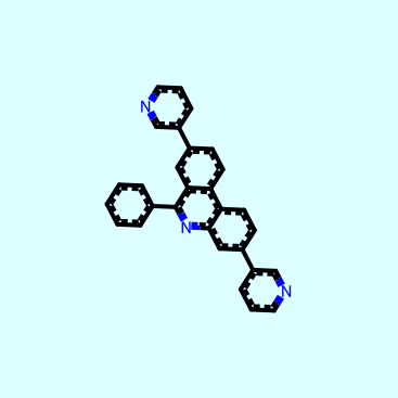 c1ccc(-c2nc3cc(-c4cccnc4)ccc3c3ccc(-c4cccnc4)cc23)cc1